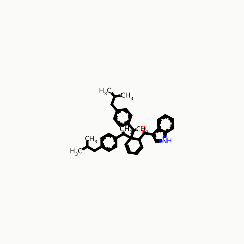 CC(C)Cc1ccc(C(C)C2(C(C)c3ccc(CC(C)C)cc3)C=CC=CC2C(=O)c2c[nH]c3ccccc23)cc1